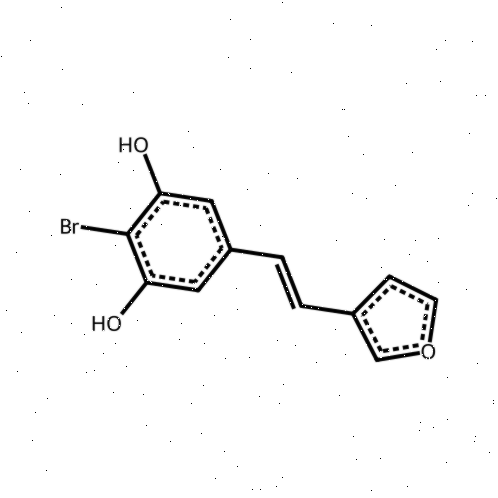 Oc1cc(C=Cc2ccoc2)cc(O)c1Br